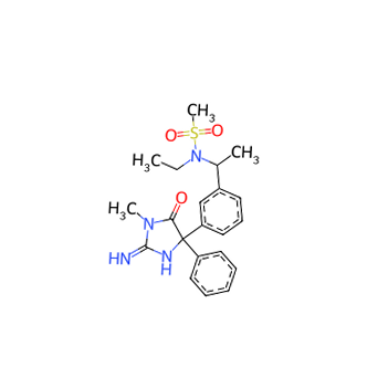 CCN(C(C)c1cccc(C2(c3ccccc3)NC(=N)N(C)C2=O)c1)S(C)(=O)=O